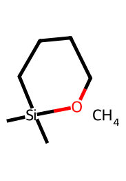 C.C[Si]1(C)CCCCO1